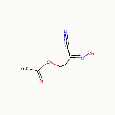 CC(=O)OC/C(C#N)=N/O